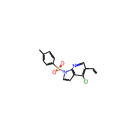 C=Cc1cnc2c(ccn2S(=O)(=O)c2ccc(C)cc2)c1Cl